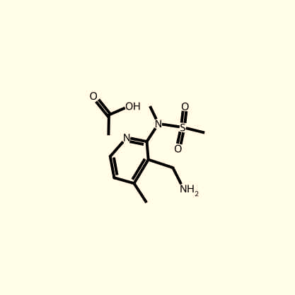 CC(=O)O.Cc1ccnc(N(C)S(C)(=O)=O)c1CN